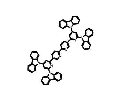 c1ccc2c(c1)c1ccccc1n2-c1cc(-c2ccc(-c3ccc(-c4cc(-n5c6ccccc6c6ccccc65)cc(-n5c6ccccc6c6ccccc65)n4)cn3)nc2)nc(-n2c3ccccc3c3ccccc32)c1